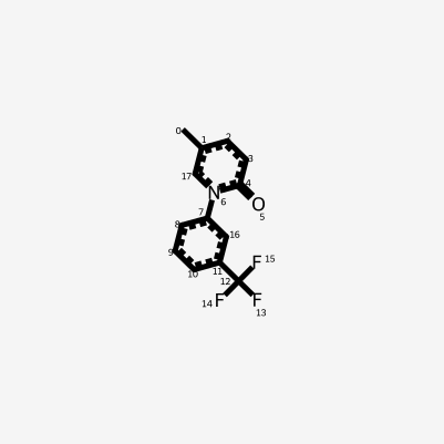 Cc1ccc(=O)n(-c2cccc(C(F)(F)F)c2)c1